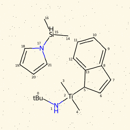 CC(C)(C)[NH][Ti]([CH3])([CH3])[CH]1C=Cc2ccccc21.C[SiH](C)n1c[c]cc1